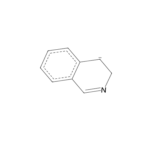 [C]1CN=Cc2ccccc21